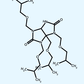 CC(C)COCN1C(=O)N(COCC(C)C)C2(COCC(C)C)C1NC(=O)N2COCC(C)C